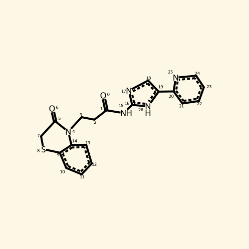 O=C(CCN1C(=O)CSc2ccccc21)Nc1ncc(-c2ccccn2)[nH]1